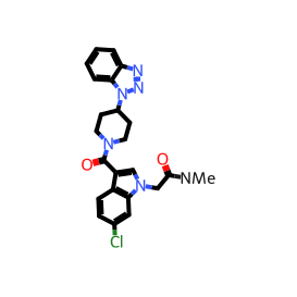 CNC(=O)Cn1cc(C(=O)N2CCC(n3nnc4ccccc43)CC2)c2ccc(Cl)cc21